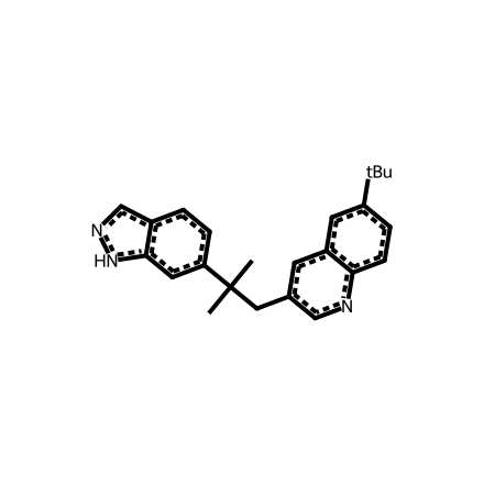 CC(C)(C)c1ccc2ncc(CC(C)(C)c3ccc4cn[nH]c4c3)cc2c1